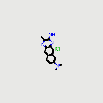 Cc1nc2cc3ccc(N(C)C)cc3cc2nc1N.Cl